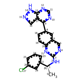 C[C@@H](Nc1ncc2cc(-c3ncnc4[nH]ncc34)ccc2n1)c1cccc(Cl)c1